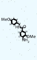 COc1ccc(CNC(=O)c2ccc(N)c(OC)c2)cc1